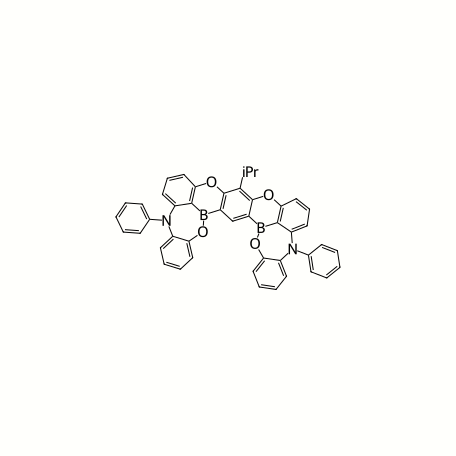 CC(C)c1c2c(cc3c1Oc1cccc4c1B3Oc1ccccc1N4c1ccccc1)B1Oc3ccccc3N(c3ccccc3)c3cccc(c31)O2